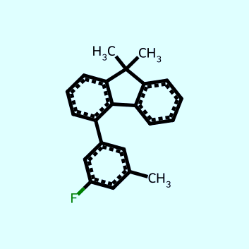 Cc1cc(F)cc(-c2cccc3c2-c2ccccc2C3(C)C)c1